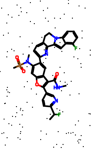 CNC(=O)c1c(-c2ccc(C(C)F)nc2)oc2cc(N(C)S(C)(=O)=O)c(-c3ccc4c(n3)-c3cc5c(F)cccc5n3CC4)cc12